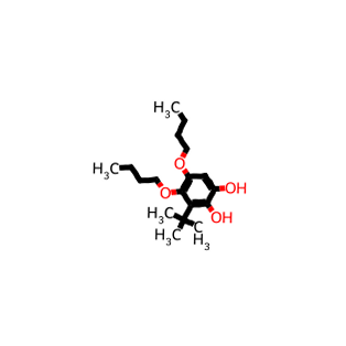 CCCCOc1cc(O)c(O)c(C(C)(C)C)c1OCCCC